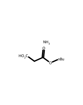 CCCCOC(=O)CC(=O)O.N